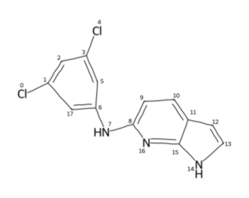 Clc1cc(Cl)cc(Nc2ccc3cc[nH]c3n2)c1